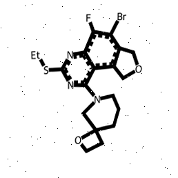 CCSc1nc(N2CCCC3(CCO3)C2)c2c3c(c(Br)c(F)c2n1)COC3